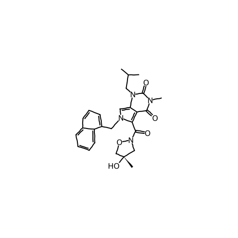 CC(C)Cn1c(=O)n(C)c(=O)c2c(C(=O)N3C[C@](C)(O)CO3)n(Cc3cccc4ccccc34)cc21